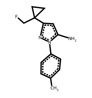 Cc1ccc(-n2nc(C3(CF)CC3)cc2N)cc1